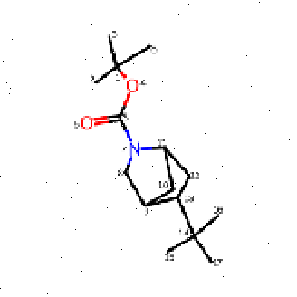 CC(C)(C)OC(=O)N1CC2CC1CC2C(C)(C)C